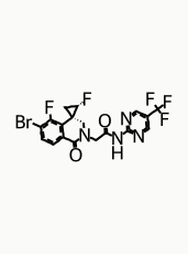 O=C(CN1C[C@@]2(C[C@@H]2F)c2c(ccc(Br)c2F)C1=O)Nc1ncc(C(F)(F)F)cn1